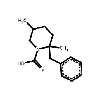 CC1CCC(C)(Cc2ccccc2)N(C(O)=S)C1